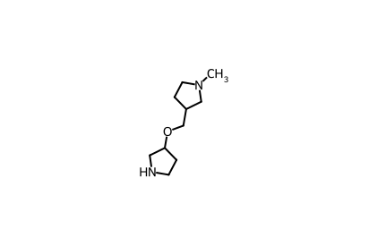 CN1CCC(COC2CCNC2)C1